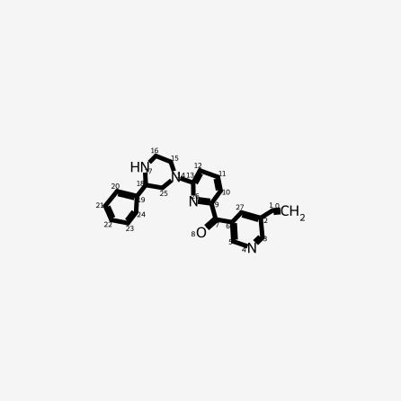 C=Cc1cncc(C(=O)c2cccc(N3CCNC(c4ccccc4)C3)n2)c1